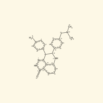 Cc1ccc(C2c3n[nH]c(=O)c4cccc(c34)NC2c2ccc(CN(C)C)cc2)cc1